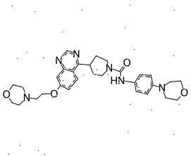 O=C(Nc1ccc(N2CCOCC2)cc1)N1CCC(c2ncnc3cc(OCCN4CCOCC4)ccc23)CC1